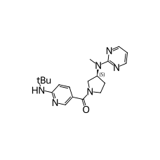 CN(c1ncccn1)[C@H]1CCN(C(=O)c2ccc(NC(C)(C)C)nc2)C1